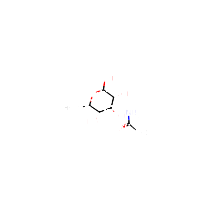 NC(=O)C(Cl)(Cl)Cl.O=C(O)[C@H]1OC(O)[C@H](O)[C@@H](O)[C@@H]1O